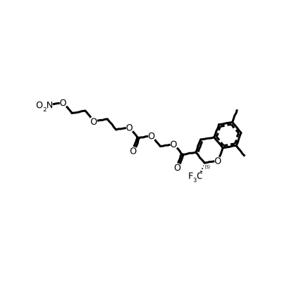 Cc1cc(C)c2c(c1)C=C(C(=O)OCOC(=O)OCCOCCO[N+](=O)[O-])[C@@H](C(F)(F)F)O2